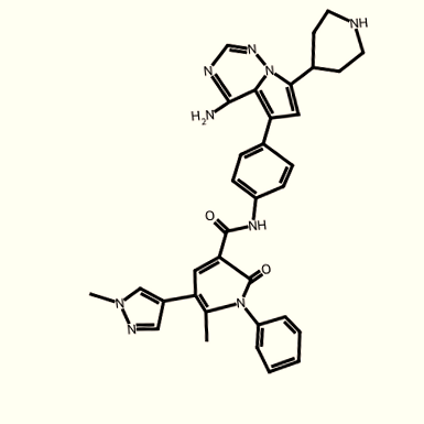 Cc1c(-c2cnn(C)c2)cc(C(=O)Nc2ccc(-c3cc(C4CCNCC4)n4ncnc(N)c34)cc2)c(=O)n1-c1ccccc1